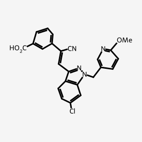 COc1ccc(Cn2nc(/C=C(\C#N)c3cccc(C(=O)O)c3)c3ccc(Cl)cc32)cn1